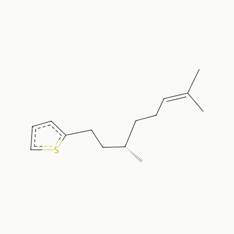 CC(C)=CCC[C@H](C)CCc1cccs1